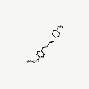 CCCCCCOc1ccc(CCC=C[C@H]2CC[C@H](CCC)CC2)cc1